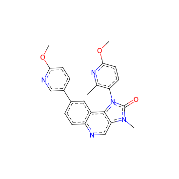 COc1ccc(-c2ccc3ncc4c(c3c2)n(-c2ccc(OC)nc2C)c(=O)n4C)cn1